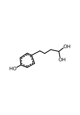 Oc1ccc(CCCC(O)O)cc1